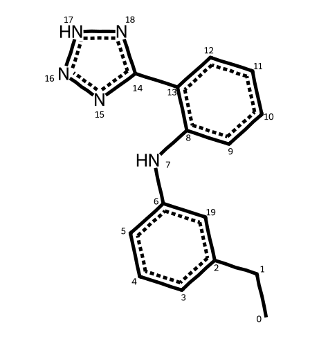 CCc1cccc(Nc2ccccc2-c2nn[nH]n2)c1